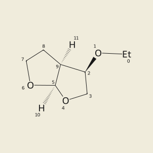 CCO[C@H]1CO[C@H]2OCC[C@H]21